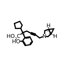 O=C(O)[C@@](CC#CCN1C[C@H]2C[C@H]2C1)(c1ccccc1O)C1CCCC1